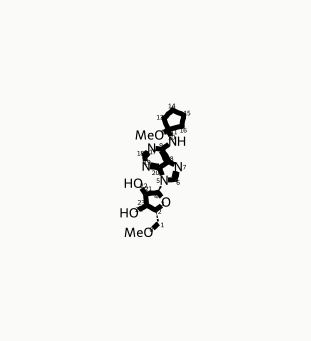 COC[C@H]1O[C@@H](n2cnc3c(NC4(OC)CCCC4)ncnc32)C(O)C1O